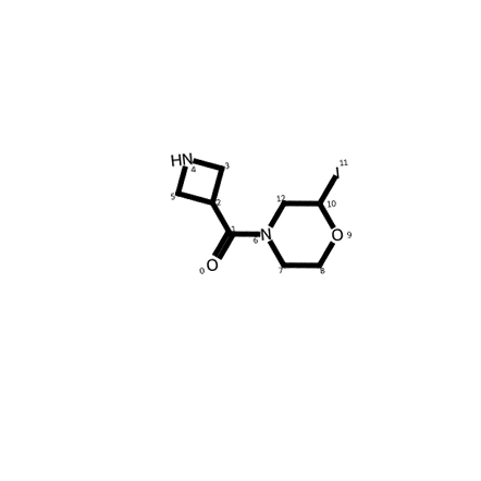 O=C(C1CNC1)N1CCOC(I)C1